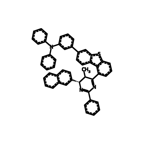 CC1C(c2cccc3sc4cc(-c5cccc(N(c6ccccc6)c6ccccc6)c5)ccc4c23)=NC(c2ccccc2)=N[C@@H]1c1ccc2ccccc2c1